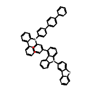 c1ccc(-c2ccc(-c3ccc(N(c4cccc(-c5cccc6c5c5ccccc5n6-c5ccc6sc7ccccc7c6c5)c4)c4ccccc4-c4ccccc4)cc3)cc2)cc1